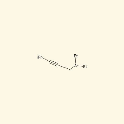 CCN(CC)CC#C[C](C)C